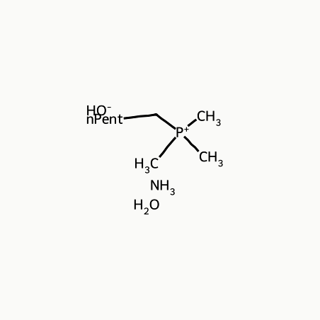 CCCCCC[P+](C)(C)C.N.O.[OH-]